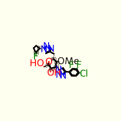 CO[C@@H]1[C@@H](n2cc(-c3ccc(Cl)c(F)c3F)nn2)[C@@H](O)[C@@H](CO)O[C@@H]1Cc1cn([C@H]2CC[C@@H]2F)nn1